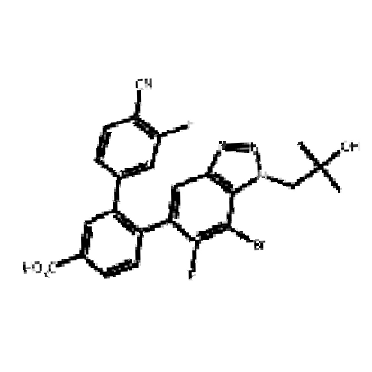 CC(C)(O)Cn1nnc2cc(-c3ccc(C(=O)O)cc3-c3ccc(C#N)c(F)c3)c(F)c(Br)c21